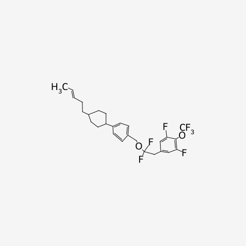 CC=CCCC1CCC(c2ccc(COC(F)(F)Cc3cc(F)c(OC(F)(F)F)c(F)c3)cc2)CC1